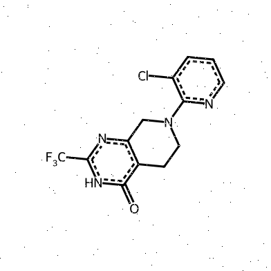 O=c1[nH]c(C(F)(F)F)nc2c1CCN(c1ncccc1Cl)C2